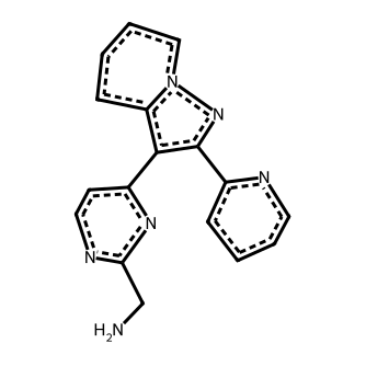 NCc1nccc(-c2c(-c3ccccn3)nn3ccccc23)n1